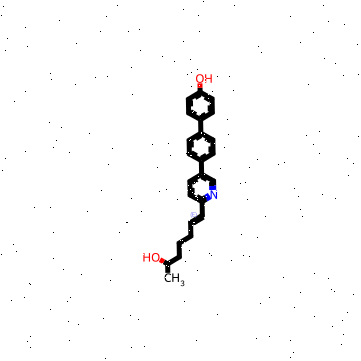 CC(O)CCC/C=C/c1ccc(-c2ccc(-c3ccc(O)cc3)cc2)cn1